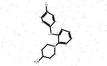 NC1CCN(c2ccccc2Oc2ccc(Cl)cc2)CC1